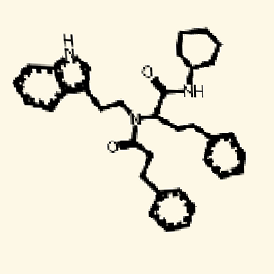 O=C(NC1CCCCC1)C(CCc1ccccc1)N(CCc1c[nH]c2ccccc12)C(=O)CCc1ccccc1